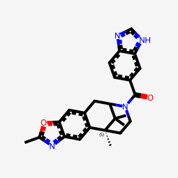 Cc1nc2cc3c(cc2o1)CC1N(C(=O)c2ccc4nc[nH]c4c2)CC[C@]3(C)C1(C)C